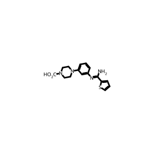 N/C(=N\c1cccc(N2CCN(C(=O)O)CC2)c1)c1cccs1